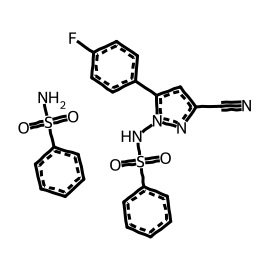 N#Cc1cc(-c2ccc(F)cc2)n(NS(=O)(=O)c2ccccc2)n1.NS(=O)(=O)c1ccccc1